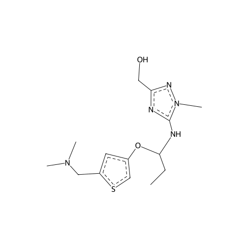 CCC(Nc1nc(CO)nn1C)Oc1csc(CN(C)C)c1